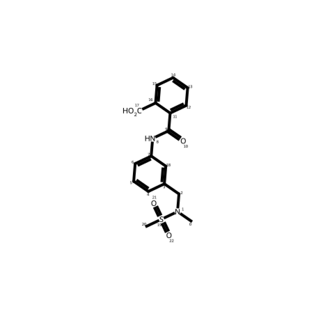 CN(Cc1cccc(NC(=O)c2ccccc2C(=O)O)c1)S(C)(=O)=O